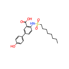 CCCCCCCCS(=O)(=O)Nc1ccc(-c2ccc(O)cc2)cc1C(=O)O